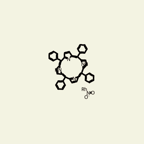 C1=Cc2nc1c(-c1ccccc1)c1ccc([nH]1)c(-c1ccccc1)c1nc(c(-c3ccccc3)c3ccc([nH]3)c2-c2ccccc2)C=C1.O=[N+]([O-])[Rh]